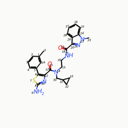 Cc1cccc(-c2sc(N)nc2C(=O)N(CCNC(=O)c2nn(C)c3ccccc23)CC2CC2)c1